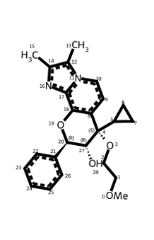 COCCO[C@@]1(C2CC2)c2ccn3c(C)c(C)nc3c2O[C@H](c2ccccc2)[C@H]1O